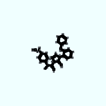 CN(C(=O)n1nnn(-c2ccccc2Oc2ccccc2)c1=O)c1ccc(C(=O)O)cc1